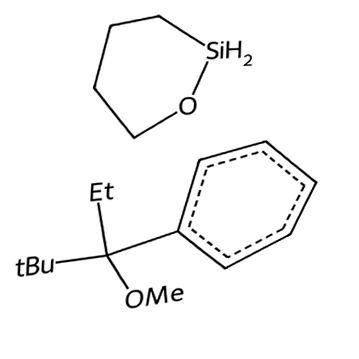 C1CC[SiH2]OC1.CCC(OC)(c1ccccc1)C(C)(C)C